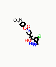 CC(C)(C1CCN(C(=O)Oc2ccc([N+](=O)[O-])cc2)CC1)C(O)c1cc(Cl)cc2cn[nH]c12